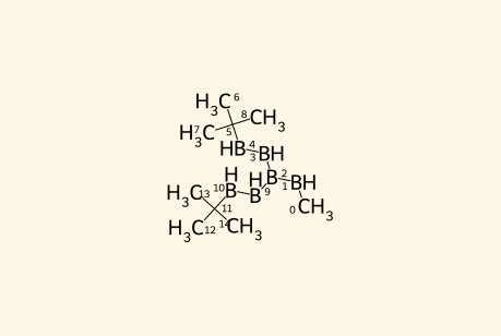 CBB(BBC(C)(C)C)BBC(C)(C)C